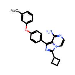 COc1cccc(Oc2ccc(-c3nc(C4CCC4)n4ccnc(N)c34)cc2)c1